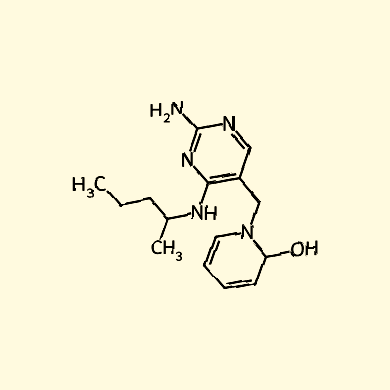 CCCC(C)Nc1nc(N)ncc1CN1C=CC=CC1O